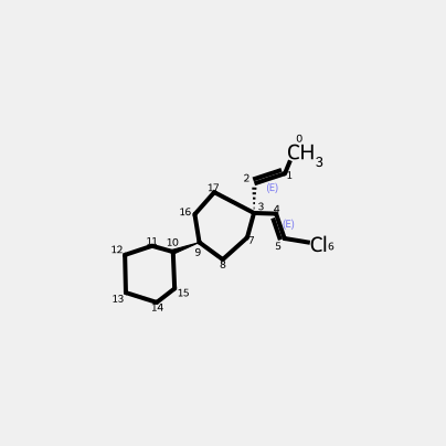 C/C=C/[C@]1(/C=C/Cl)CC[C@@H](C2CCCCC2)CC1